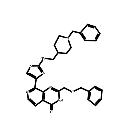 O=c1[nH]c(COCc2ccccc2)nc2c(-c3csc(NCC4CCN(Cc5ccccc5)CC4)n3)nccc12